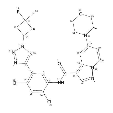 O=C(Nc1cc(-c2nnn(C3CC(F)(F)C3)n2)c(Cl)cc1Cl)c1cnn2ccc(N3CCOCC3)cc12